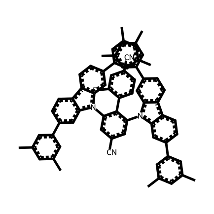 Cc1cc(C)cc(-c2ccc3c4ccc(-c5cc(C)cc(C)c5)cc4n(-c4cc(C#N)cc(-n5c6cc(-c7cc(C)cc(C)c7)ccc6c6ccc(-c7cc(C)cc(C)c7)cc65)c4-c4ccc(C#N)cc4F)c3c2)c1